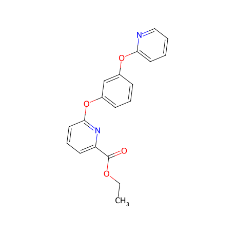 CCOC(=O)c1cccc(Oc2cccc(Oc3ccccn3)c2)n1